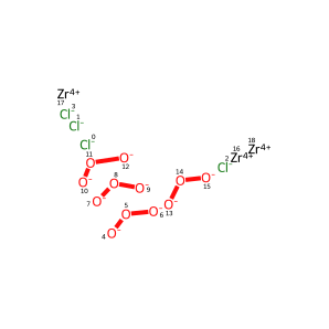 [Cl-].[Cl-].[Cl-].[Cl-].[O-]O[O-].[O-]O[O-].[O-]O[O-].[O-]O[O-].[Zr+4].[Zr+4].[Zr+4]